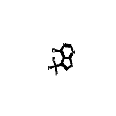 FC(F)(F)c1csc2ncnc(Cl)c12